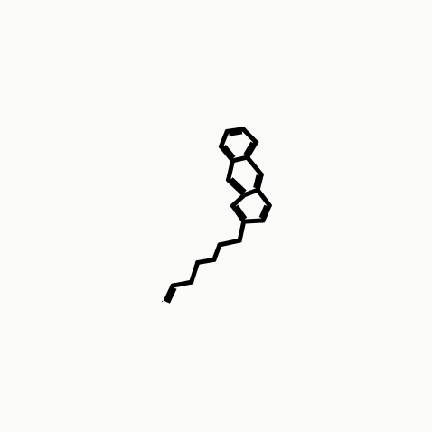 [CH]=CCCCCCc1ccc2cc3ccccc3cc2c1